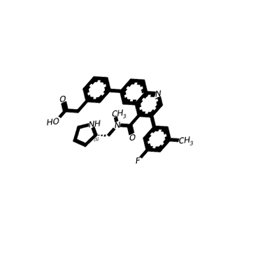 Cc1cc(F)cc(-c2cnc3ccc(-c4cccc(CC(=O)O)c4)cc3c2C(=O)N(C)C[C@@H]2CCCN2)c1